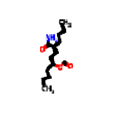 CCCCC(=CC=C(CCCC)C(N)=O)OC=O